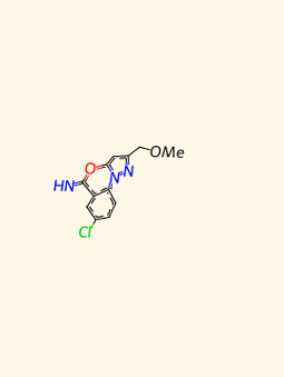 COCc1cc2oc(=N)c3cc(Cl)ccc3n2n1